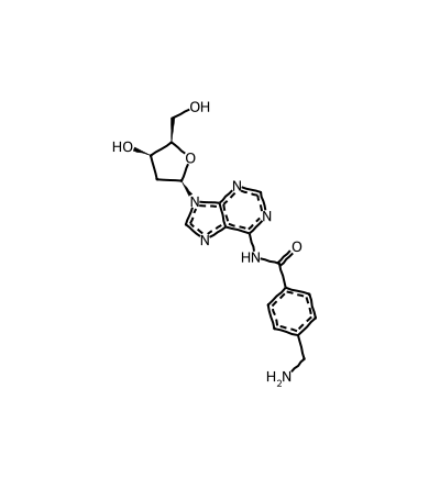 NCc1ccc(C(=O)Nc2ncnc3c2ncn3[C@H]2C[C@@H](O)[C@@H](CO)O2)cc1